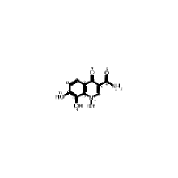 CCn1cc(C(N)=O)c(=O)c2ccc(O)c(O)c21